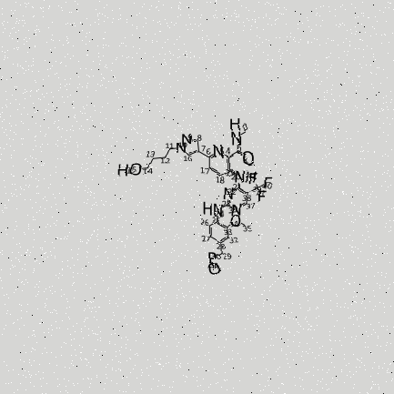 CNC(=O)c1nc(-c2cnn(CCCCO)c2)ccc1Nc1nc(Nc2ccc(CP=O)cc2OC)ncc1C(F)(F)F